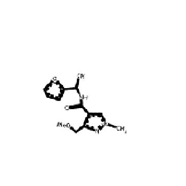 COCc1nn(C)cc1C(=O)NC(C#N)c1ccco1